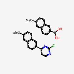 COc1ccc2cc(-c3ccnc(Cl)n3)ccc2c1.COc1ccc2cc(B(O)O)ccc2c1